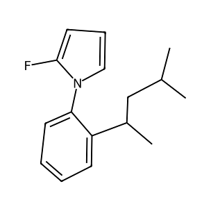 CC(C)CC(C)c1ccccc1-n1cccc1F